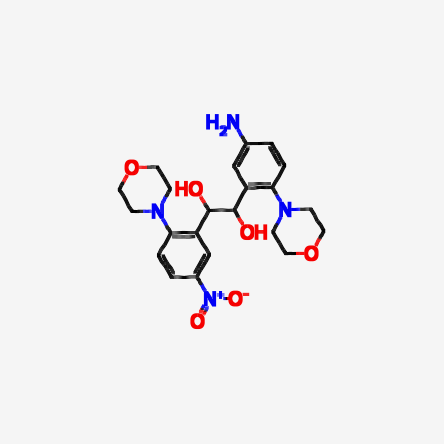 Nc1ccc(N2CCOCC2)c(C(O)C(O)c2cc([N+](=O)[O-])ccc2N2CCOCC2)c1